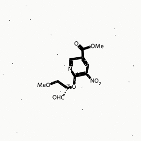 COC[C@@H](C=O)Oc1ncc(C(=O)OC)cc1[N+](=O)[O-]